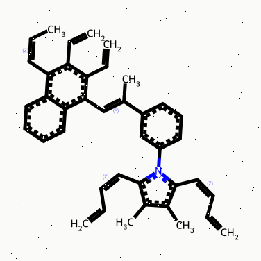 C=C/C=C\c1c(C)c(C)c(/C=C\C=C)n1-c1cccc(/C(C)=C/c2c(C=C)c(C=C)c(/C=C\C)c3ccccc23)c1